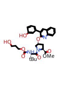 COC(=O)[C@@H]1C[C@@H](Oc2nc3ccccc3cc2-c2cccc(O)c2)CN1C(=O)[C@@H](NC(=O)OCCCO)C(C)(C)C